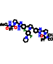 COC(=O)N[C@H](C(=O)N1CCC[C@H]1c1nc2cc([C@H]3CC[C@H](c4ccc5[nH]c([C@@H]6CCCN6C(=O)[C@H](C(C)C)N(C)C(=O)O)nc5c4)N3c3cc(F)c(N4CCCCC4)cc3F)ccc2[nH]1)C(C)C